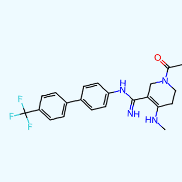 CNC1=C(C(=N)Nc2ccc(-c3ccc(C(F)(F)F)cc3)cc2)CN(C(C)=O)CC1